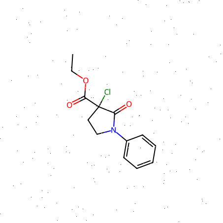 CCOC(=O)C1(Cl)CCN(c2ccccc2)C1=O